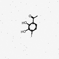 CC(=O)c1ccc(I)c(O)c1O